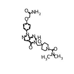 CN(C)C(=O)N1CCC(O)(Cn2cnc3c(cnn3-c3ccc(OCC(N)=O)cc3)c2=O)CC1